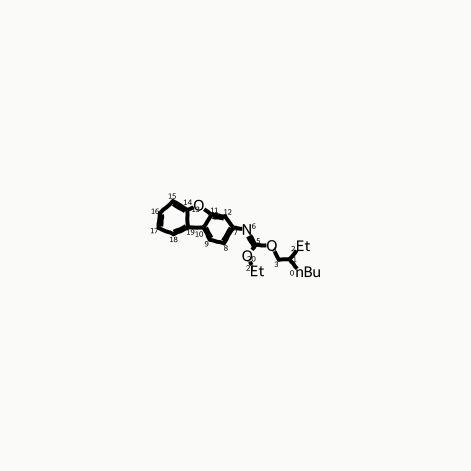 CCCCC(CC)COC(=Nc1ccc2c(c1)oc1ccccc12)OCC